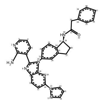 Nc1ncccc1-c1nc2ccc(-n3cccn3)nc2n1-c1ccc2c(c1)CC[C@@H]2NC(=O)Cc1ccccc1